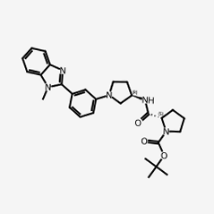 Cn1c(-c2cccc(N3CC[C@@H](NC(=O)[C@@H]4CCCN4C(=O)OC(C)(C)C)C3)c2)nc2ccccc21